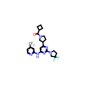 O=C(C1CCC1)N1CCC(c2cc(Nc3cc(C(F)(F)F)ccn3)nc(N3CCC(F)(F)C3)n2)C1